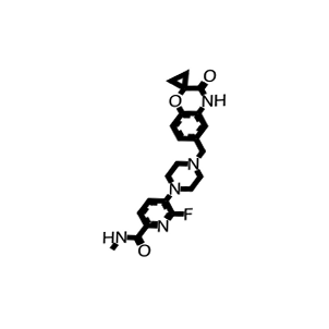 CNC(=O)c1ccc(N2CCN(Cc3ccc4c(c3)NC(=O)C3(CC3)O4)CC2)c(F)n1